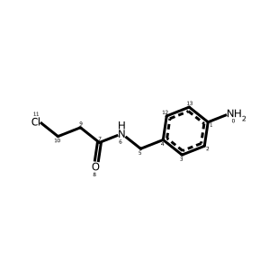 Nc1ccc(CNC(=O)CCCl)cc1